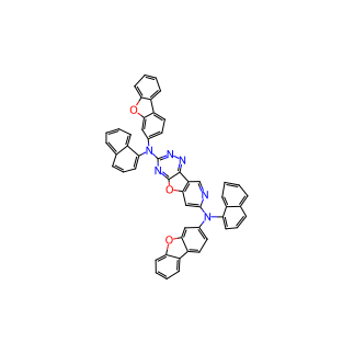 c1ccc2c(N(c3ccc4c(c3)oc3ccccc34)c3cc4oc5nc(N(c6ccc7c(c6)oc6ccccc67)c6cccc7ccccc67)nnc5c4cn3)cccc2c1